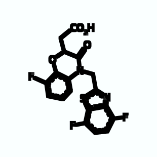 O=C(O)CC1Oc2c(F)cccc2N(Cc2nc3c(F)ccc(F)c3s2)C1=O